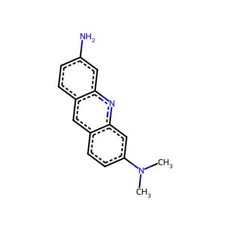 CN(C)c1ccc2cc3ccc(N)cc3nc2c1